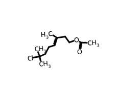 CC(=O)OCCC(C)=CCCC(C)(C)Cl